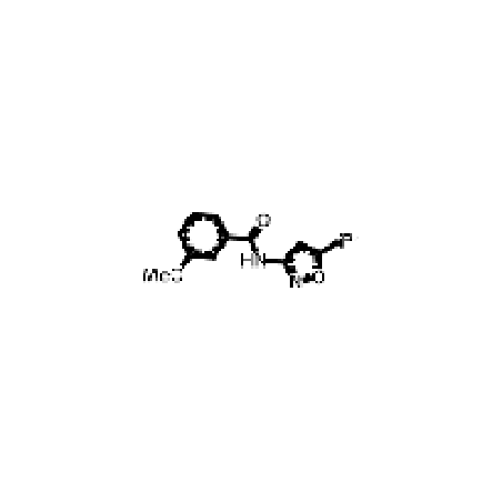 COc1cccc(C(=O)Nc2cc(C(C)C)on2)c1